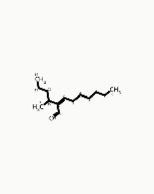 CCCCCCC=C(C=O)C(C)CCC